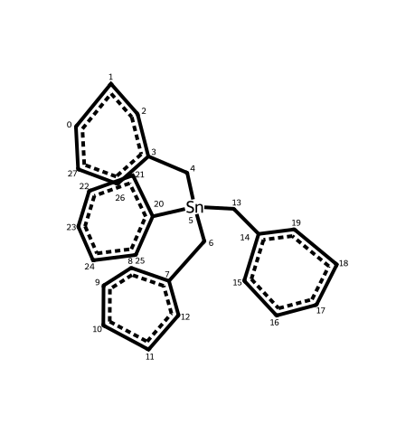 c1ccc([CH2][Sn]([CH2]c2ccccc2)([CH2]c2ccccc2)[c]2ccccc2)cc1